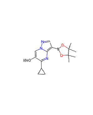 COc1cn2ncc(B3OC(C)(C)C(C)(C)O3)c2nc1C1CC1